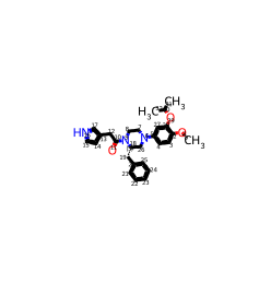 COc1ccc(N2CCN(C(=O)Cc3cc[nH]c3)[C@@H](Cc3ccccc3)C2)cc1OC(C)C